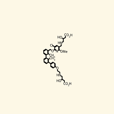 COc1nc(OCc2cccc(-c3cccc(-c4ccc(OCCNCC(O)CC(=O)O)cc4)c3C)c2C)c(Cl)cc1CNCC(O)CC(=O)O